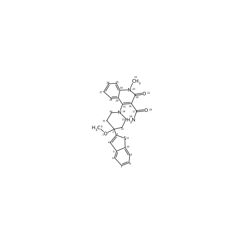 COC1(c2cc3ccccc3s2)CCN(c2c(C(N)=O)c(=O)n(C)c3ccccc23)CC1